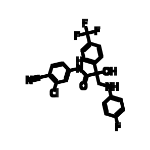 N#Cc1ccc(NC(=O)C(O)(CNc2ccc(F)cc2)c2ccc(C(F)(F)F)cc2)cc1Cl